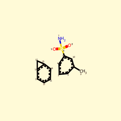 Cc1cccc(S(N)(=O)=O)c1.c1ccc2c(c1)C2